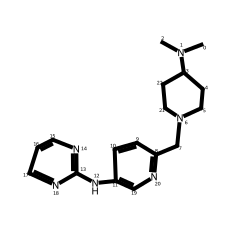 CN(C)C1CCN(Cc2ccc(Nc3ncccn3)cn2)CC1